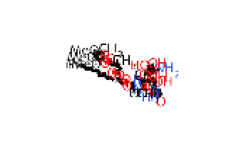 CO[C@@H]1[C@@H](OC)[C@H](C)O[C@@H](OC(=O)C[C@@H](C)CC(=O)O[C@@H](CCCCCCCCCCCC(C)C)CC(=O)O[C@H]2CN(C)[C@@H]([C@H](O[C@@H]3O[C@H](CN)[C@@H](O)[C@H]3O)[C@H]3O[C@@H](n4ccc(=O)[nH]c4=O)[C@H](O)[C@@H]3O)C(=O)N(C)[C@@H]2C(=O)O)[C@@H]1OC